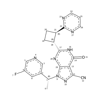 C[C@H](c1cncc(F)c1)n1nc(C#N)c2c(=O)[nH]c([C@@H]3CC[C@H]3c3ncccn3)nc21